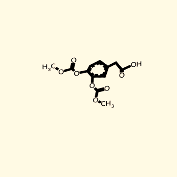 COC(=O)Oc1ccc(CC(=O)O)cc1OC(=O)OC